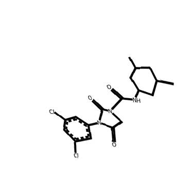 CC1CC(C)CC(NC(=O)N2CC(=O)N(c3cc(Cl)cc(Cl)c3)C2=O)C1